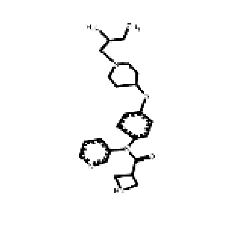 CCC(C)CN1CCC(Oc2ccc(N(C(=O)C3CNC3)c3cccnc3)cc2)CC1